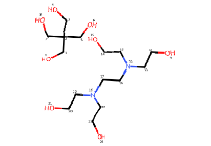 OCC(CO)(CO)CO.OCCN(CCO)CCN(CCO)CCO